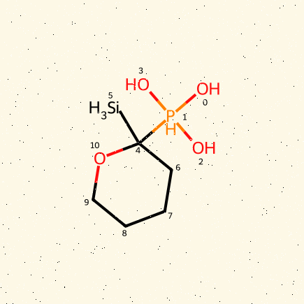 O[PH](O)(O)C1([SiH3])CCCCO1